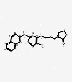 O=C1CCCN1CCCNc1nc(Nc2ccc3ccccc3c2)ncc1C(F)(F)F